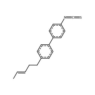 CC=CCCc1ccc(-c2ccc(N=C=S)cc2)cc1